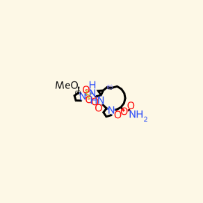 COC[C@@H]1CCCN1S(=O)(=O)NC(=O)C12CC1/C=C/CCCCCC(OC(N)=O)C(=O)N1CCCC1C(=O)N2